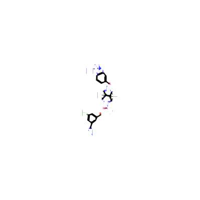 N#Cc1cc(F)cc(COC(=O)N2C[C@@H]3CN(C(=O)c4ccc5[nH]nnc5c4)C[C@@H]3C2)c1